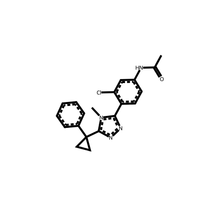 CC(=O)Nc1ccc(-c2nnc(C3(c4ccccc4)CC3)n2C)c(Cl)c1